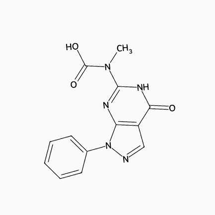 CN(C(=O)O)c1nc2c(cnn2-c2ccccc2)c(=O)[nH]1